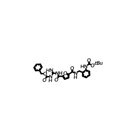 CC(C)(C)OC(=O)Nc1ccccc1CNC(=O)c1ccc(C(=O)NC(=N)NC(=O)OCc2ccccc2)o1